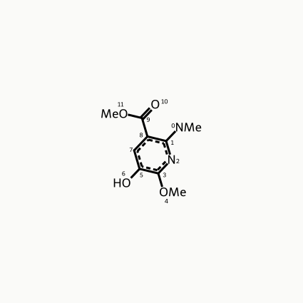 CNc1nc(OC)c(O)cc1C(=O)OC